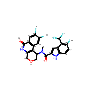 CN(C(=O)c1cc2c(C(F)F)c(F)ccc2[nH]1)C1COCc2[nH]c(=O)c3cc(F)c(F)cc3c21